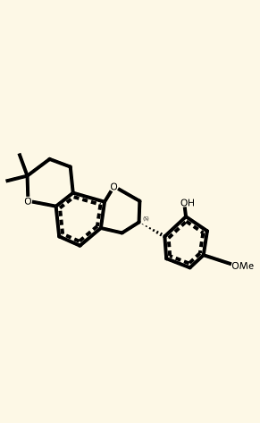 COc1ccc([C@H]2COc3c(ccc4c3CCC(C)(C)O4)C2)c(O)c1